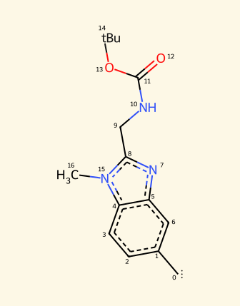 [C]c1ccc2c(c1)nc(CNC(=O)OC(C)(C)C)n2C